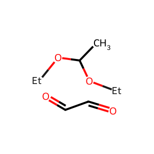 CCOC(C)OCC.O=CC=O